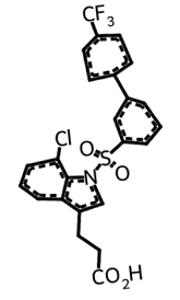 O=C(O)CCc1cn(S(=O)(=O)c2cccc(-c3ccc(C(F)(F)F)cc3)c2)c2c(Cl)cccc12